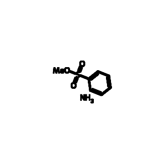 COS(=O)(=O)c1ccccc1.N